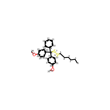 CCCCCCSSC(c1ccccc1)(c1ccc(OC)cc1)c1ccc(OC)cc1